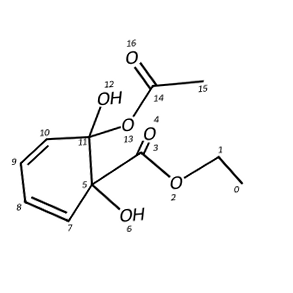 CCOC(=O)C1(O)C=CC=CC1(O)OC(C)=O